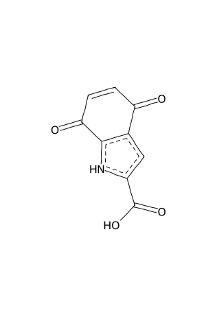 O=C(O)c1cc2c([nH]1)C(=O)C=CC2=O